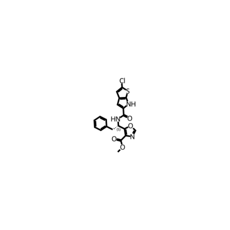 COC(=O)c1ncoc1[C@H](Cc1ccccc1)NC(=O)c1cc2cc(Cl)sc2[nH]1